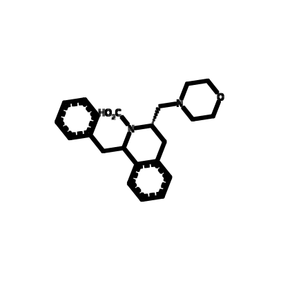 O=C(O)N1C(Cc2ccccc2)c2ccccc2C[C@H]1CN1CCOCC1